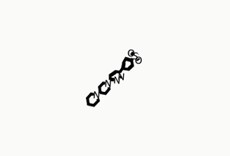 CS(=O)(=O)c1ccc(-c2ccc(N3CCC(N4CCCCC4)CC3)nn2)cc1